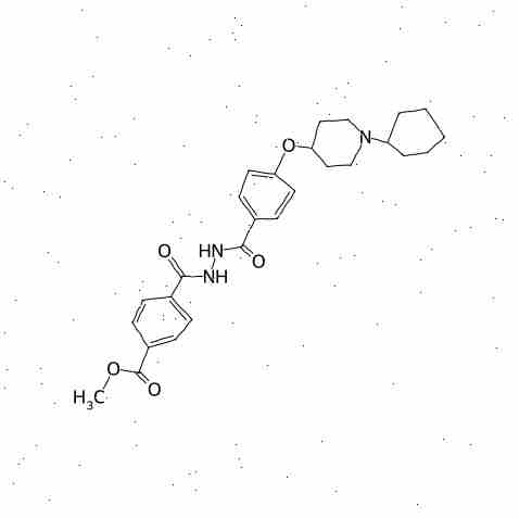 COC(=O)c1ccc(C(=O)NNC(=O)c2ccc(OC3CCN(C4CCCCC4)CC3)cc2)cc1